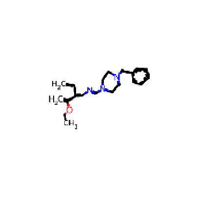 C=C/C(=C\N=C\N1CCN(Cc2ccccc2)CC1)C(=C)OCC